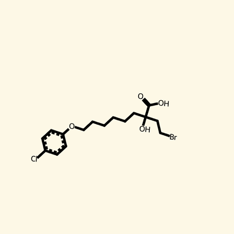 O=C(O)C(O)(CCBr)CCCCCCOc1ccc(Cl)cc1